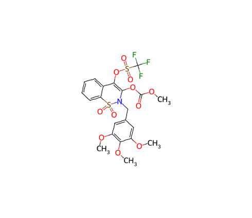 COC(=O)OC1=C(OS(=O)(=O)C(F)(F)F)c2ccccc2S(=O)(=O)N1Cc1cc(OC)c(OC)c(OC)c1